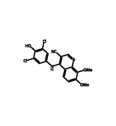 COc1ccc2c(Nc3cc(Cl)c(O)c(Cl)c3)c(C#N)cnc2c1OC